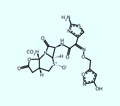 Nc1nc(/C(=N/OCc2cc(O)no2)C(=O)N[C@@H]2C(=O)N3[C@@H]2[S@+]([O-])C[C@@H]2CC(=O)O[C@@]23C(=O)O)cs1